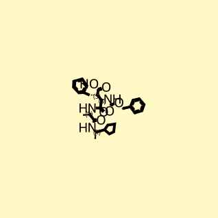 C[C@@H](NC(=O)[C@@H](NC(=O)OCc1ccccc1)[C@H](Cc1ccccc1)C(=O)O)C(=O)N[C@H](C)C1CCCC1